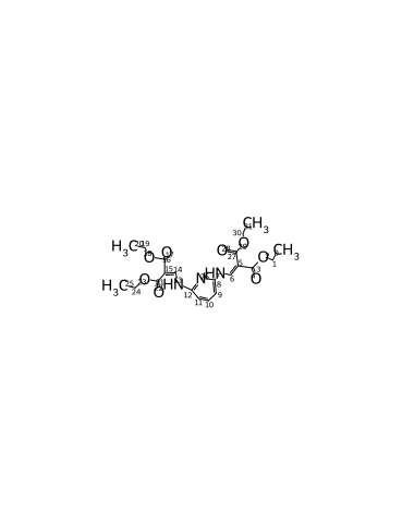 CCOC(=O)C(=CNc1cccc(NC=C(C(=O)OCC)C(=O)OCC)n1)C(=O)OCC